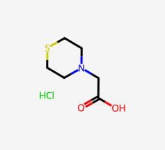 Cl.O=C(O)CN1CCSCC1